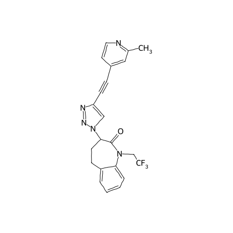 Cc1cc(C#Cc2cn(C3CCc4ccccc4N(CC(F)(F)F)C3=O)nn2)ccn1